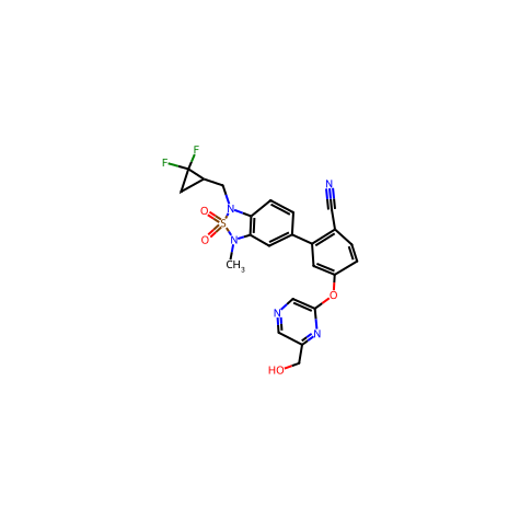 CN1c2cc(-c3cc(Oc4cncc(CO)n4)ccc3C#N)ccc2N(CC2CC2(F)F)S1(=O)=O